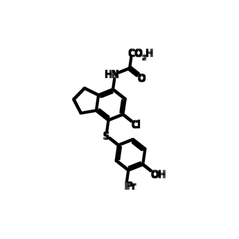 CC(C)c1cc(Sc2c(Cl)cc(NC(=O)C(=O)O)c3c2CCC3)ccc1O